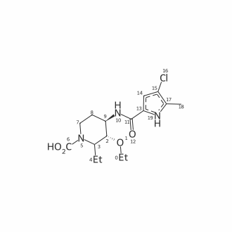 CCO[C@@H]1C(CC)N(C(=O)O)CC[C@H]1NC(=O)c1cc(Cl)c(C)[nH]1